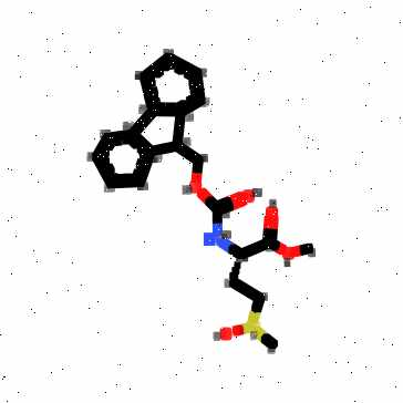 COC(=O)[C@H](CC[S+](C)[O-])NC(=O)OCC1c2ccccc2-c2ccccc21